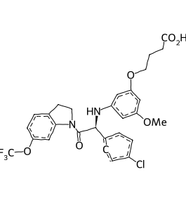 COc1cc(N[C@H](C(=O)N2CCc3ccc(OC(F)(F)F)cc32)c2ccc(Cl)cc2)cc(OCCCC(=O)O)c1